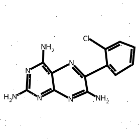 Nc1nc(N)c2nc(-c3ccccc3Cl)c(N)nc2n1